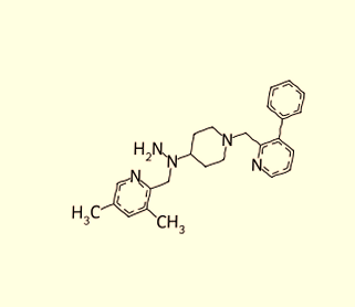 Cc1cnc(CN(N)C2CCN(Cc3ncccc3-c3ccccc3)CC2)c(C)c1